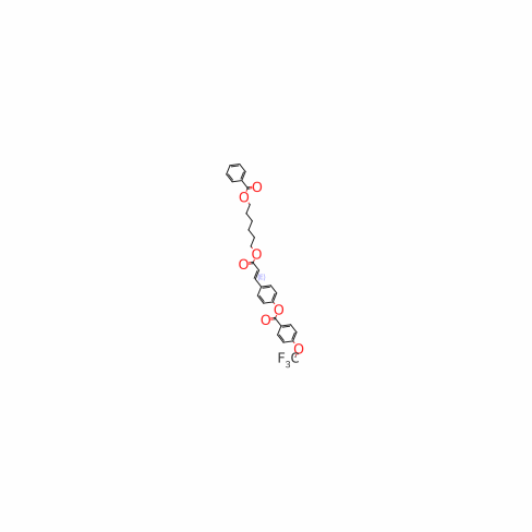 O=C(/C=C/c1ccc(OC(=O)c2ccc(OC(F)(F)F)cc2)cc1)OCCCCCCOC(=O)c1ccccc1